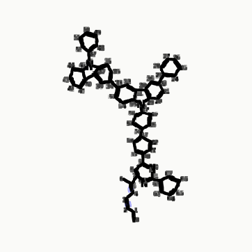 C=C/C=C\C=C(/C)c1cc(-c2ccc(-c3ccc(-n4c5ccc(-c6ccccc6)cc5c5cc(-c6ccc7c(c6)c6ccccc6n7-c6ccccc6)ccc54)cc3)cc2)nc(-c2ccccc2)n1